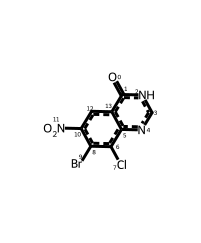 O=c1[nH]cnc2c(Cl)c(Br)c([N+](=O)[O-])cc12